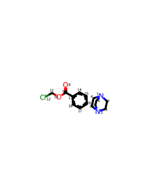 C1CN2CCN1CC2.O=C(OCCl)c1ccccc1